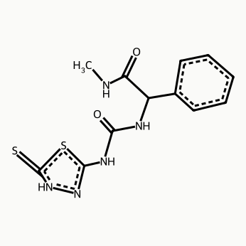 CNC(=O)C(NC(=O)Nc1n[nH]c(=S)s1)c1ccccc1